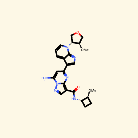 CO[C@H]1CC[C@@H]1NC(=O)c1cnn2c(N)cc(-c3cnc4n([C@@H]5COC[C@H]5OC)cccc3-4)nc12